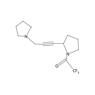 O=C(N1CCCC1C#CCN1CCCC1)C(F)(F)F